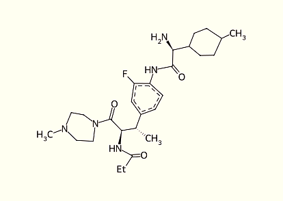 CCC(=O)N[C@@H](C(=O)N1CCN(C)CC1)[C@@H](C)c1ccc(NC(=O)[C@@H](N)C2CCC(C)CC2)c(F)c1